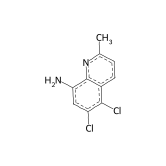 Cc1ccc2c(Cl)c(Cl)cc(N)c2n1